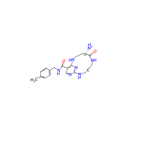 Cc1ccc(CNC(=O)c2cnc3nc2NCC[C@H](N)C(=O)NCCCN3)cc1